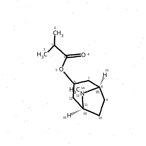 CC(C)C(=O)OC1C[C@H]2CC[C@@H](C1)N2C